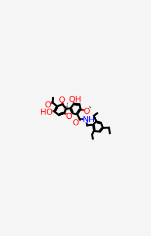 CCc1cc(CC)c(CNC(=O)c2c(OC)cc(O)c3c2OC2=CC(O)=C(C(C)=O)C(=O)[C@]23C)c(CC)c1